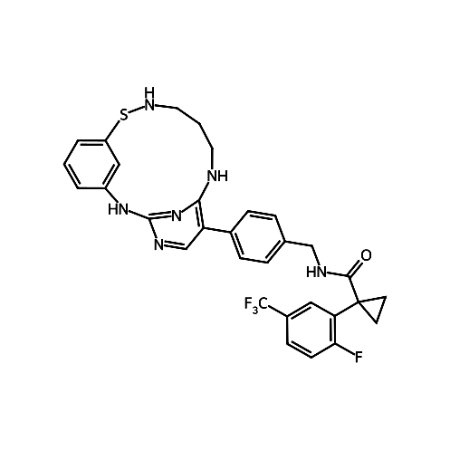 O=C(NCc1ccc(-c2cnc3nc2NCCCNSc2cccc(c2)N3)cc1)C1(c2cc(C(F)(F)F)ccc2F)CC1